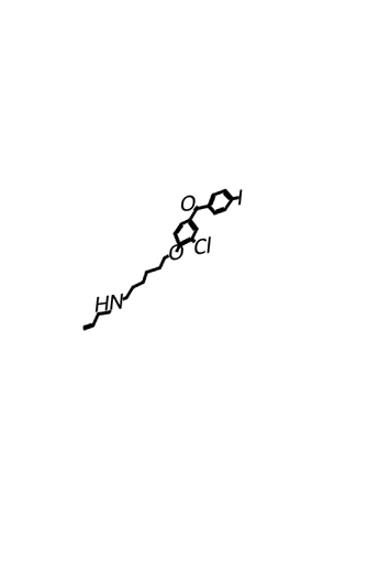 C=CCCNCCCCCCOc1ccc(C(=O)c2ccc(I)cc2)cc1Cl